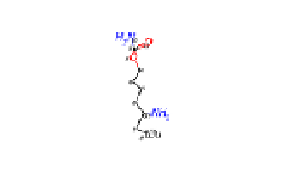 CC(C)(C)CC(N)CCCCOC(N)=O